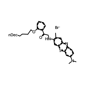 CCCCCCCCCCCCCCOc1ccccc1C(=O)CNc1cc2[s+]c3cc(N(C)C)ccc3nc2cc1C.[Br-]